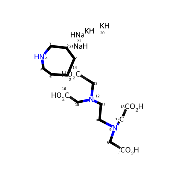 C1CCCNCC1.O=C(O)CN(CCN(CC(=O)O)CC(=O)O)CC(=O)O.[KH].[KH].[NaH].[NaH]